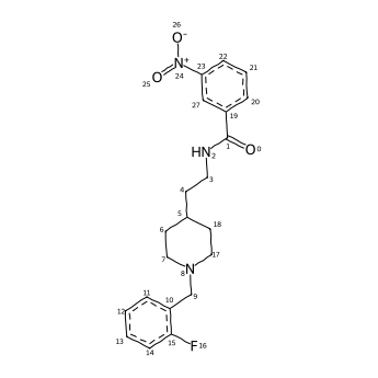 O=C(NCCC1CCN(Cc2ccccc2F)CC1)c1cccc([N+](=O)[O-])c1